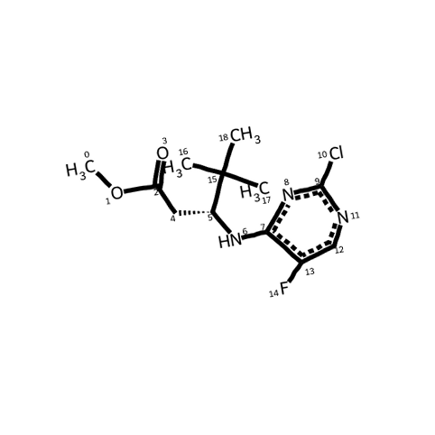 COC(=O)C[C@@H](Nc1nc(Cl)ncc1F)C(C)(C)C